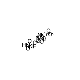 CCOC(=O)C1CCN(c2ncnc(Oc3ccc(C4NC(=O)NC4=O)cc3)c2[N+](=O)[O-])CC1